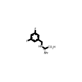 CCC[C@H](NCc1cc(F)cc(F)c1)C(=O)O